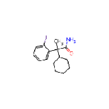 CC(C(N)=O)(c1ccccc1I)C1CCCCC1